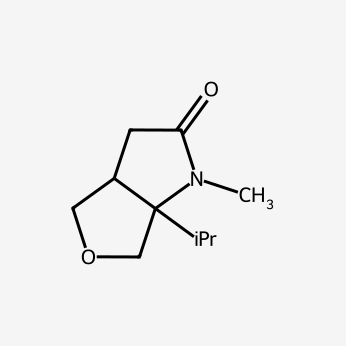 CC(C)C12COCC1CC(=O)N2C